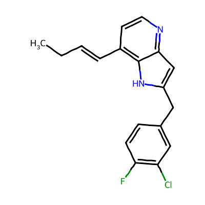 CC/C=C/c1ccnc2cc(Cc3ccc(F)c(Cl)c3)[nH]c12